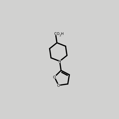 O=C(O)C1CCN(C2=CCOO2)CC1